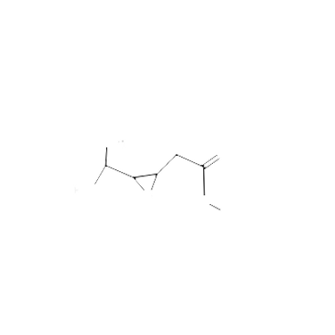 CCCCCCCC(C1OC1CC(=O)OO)S(=O)(=O)O